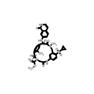 COC(=O)N1CC(=O)Nc2ccc(S(=O)(=O)C3CC3)c(c2)CN(C)C(=O)[C@H](Nc2ccc3cc[nH]c(=O)c3c2)c2ccc(c(C)c2)[C@H]1C